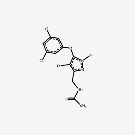 CCc1c(CNC(N)=O)nn(C(C)C)c1Oc1cc(Cl)cc(Cl)c1